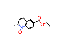 CCOC(=O)c1ccc2c(ccc(C)[n+]2[O-])c1